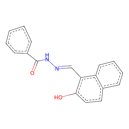 O=C(N/N=C/c1c(O)ccc2ccccc12)c1ccccc1